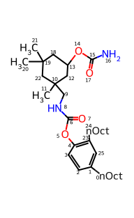 CCCCCCCCc1ccc(OC(=O)NCC2(C)CC(OC(N)=O)CC(C)(C)C2)c(CCCCCCCC)c1